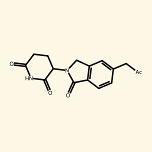 CC(=O)Cc1ccc2c(c1)CN(C1CCC(=O)NC1=O)C2=O